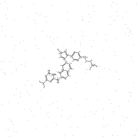 CC(C)C1=CNNC(Nc2ccc3ncc(-c4cn(C)nc4-c4ccc(OCCN(C)C)cc4)cc3n2)=C1